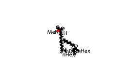 CCCCCCCCCCCOC(=O)CCCCCN(CCCCCCCC(=O)OC(COCCCCCC)COCCCCCC)CCCNc1c(NC)c(=O)c1=O